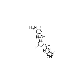 Cc1cc2c(cc1N)nc(N1C[C@H](F)C[C@@H](Nc3ncc(C#N)c(N(C)C)n3)C1)n2C